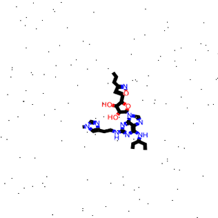 CCCc1cc(C2OC(n3cnc4c(NC(CC)CC)nc(NCCc5cn(C)cn5)nc43)C(O)C2O)on1